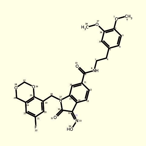 COc1ccc(CCNC(=O)c2ccc3c(c2)N(Cc2cc(F)cc4c2OCOC4)C(=O)/C3=N\O)cc1OC